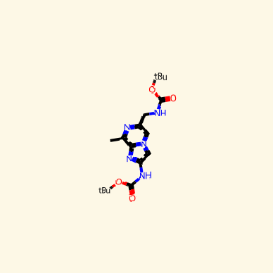 Cc1nc(CNC(=O)OC(C)(C)C)cn2cc(NC(=O)OC(C)(C)C)nc12